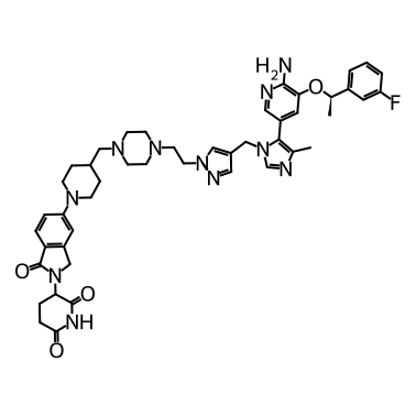 Cc1ncn(Cc2cnn(CCN3CCN(CC4CCN(c5ccc6c(c5)CN(C5CCC(=O)NC5=O)C6=O)CC4)CC3)c2)c1-c1cnc(N)c(O[C@H](C)c2cccc(F)c2)c1